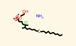 CCCCCCCCCCCCCCCCC(C)C(C)(Cl)CCC[Si](OC)(OC)OCCO.N